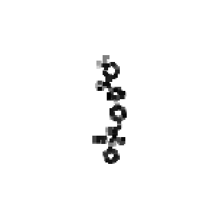 O=C(NCc1ccc(-c2nc(C(=O)N3CCCC(F)(F)C3)co2)cc1)[C@@H](O)c1ccccc1